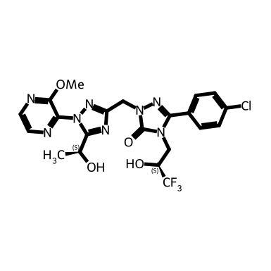 COc1nccnc1-n1nc(Cn2nc(-c3ccc(Cl)cc3)n(C[C@H](O)C(F)(F)F)c2=O)nc1[C@H](C)O